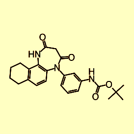 CC(C)(C)OC(=O)Nc1cccc(N2C(=O)CC(=O)Nc3c2ccc2c3CCCC2)c1